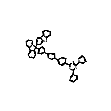 c1ccc(-c2nc(-c3ccccc3)nc(-c3ccc(-c4ccc(-c5ccc(C6(c7ccc8c(c7)sc7ccccc78)c7ccccc7-c7ccccc76)cc5)cc4)cc3)n2)cc1